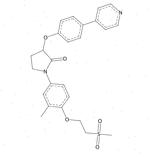 Cc1cc(N2CCC(Oc3ccc(-c4ccncc4)cc3)C2=O)ccc1OCCS(C)(=O)=O